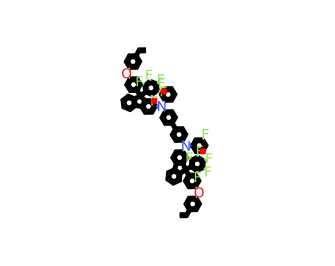 C=Cc1ccc(Oc2ccc(C3(c4c(F)c(F)c(F)c(F)c4F)c4ccccc4-c4ccc(N(c5ccc(-c6ccc(N(c7cccc(F)c7)c7ccc8c(c7)C(c7ccc(Oc9ccc(C=C)cc9)cc7)(c7c(F)c(F)c(F)c(F)c7F)c7ccccc7-8)cc6)cc5)c5cccc(F)c5)cc43)cc2)cc1